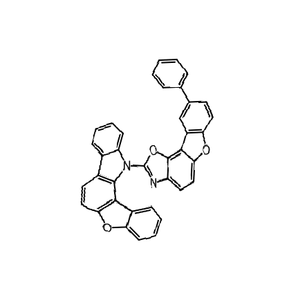 c1ccc(-c2ccc3oc4ccc5nc(-n6c7ccccc7c7ccc8oc9ccccc9c8c76)oc5c4c3c2)cc1